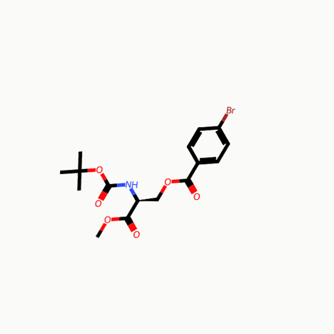 COC(=O)[C@H](COC(=O)c1ccc(Br)cc1)NC(=O)OC(C)(C)C